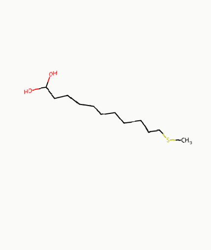 CSCCCCCCCCCCC(O)O